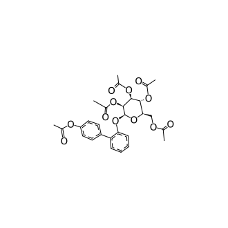 CC(=O)OC[C@H]1O[C@@H](Oc2ccccc2-c2ccc(OC(C)=O)cc2)[C@@H](OC(C)=O)[C@@H](OC(C)=O)[C@@H]1OC(C)=O